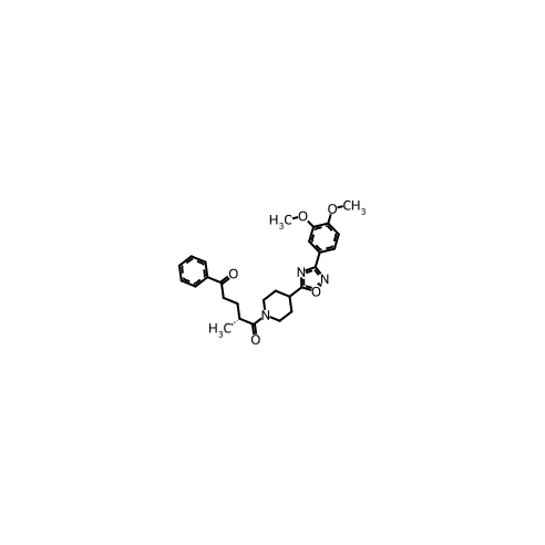 COc1ccc(-c2noc(C3CCN(C(=O)[C@H](C)CCC(=O)c4ccccc4)CC3)n2)cc1OC